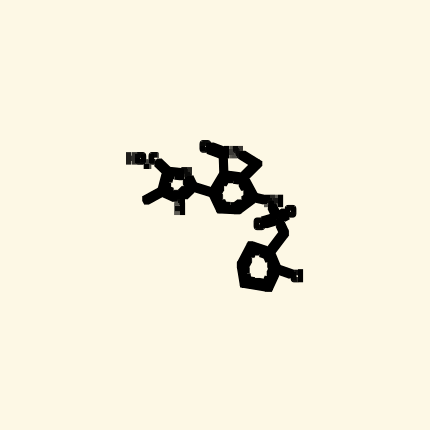 Cc1[nH]c(-c2ccc(NS(=O)(=O)Cc3ccccc3Cl)c3c2C(=O)NC3)nc1C(=O)O